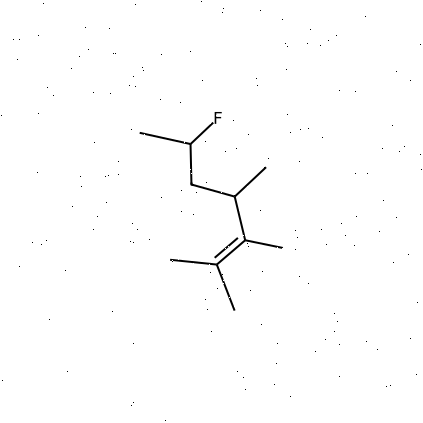 CC(C)=C(C)C(C)CC(C)F